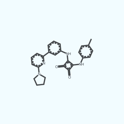 Cc1ccc(Nc2c(Nc3cccc(-c4cccc(N5CCCC5)n4)c3)c(=O)c2=O)cc1